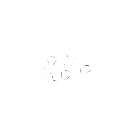 O=C1OC[C@@H](Cc2ccccc2)N1Cc1ccccc1CN1C(=O)OC[C@H]1Cc1ccccc1